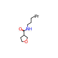 CC(C)CCCNC(=O)C1CCOC1